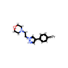 CC(C)c1ccc(-c2cnn(CCN3CCOCC3)c2)cc1